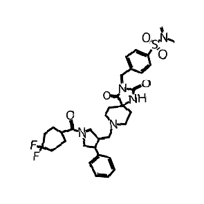 CN(C)S(=O)(=O)c1ccc(CN2C(=O)NC3(CCN(CC4CN(C(=O)C5CCC(F)(F)CC5)CC4c4ccccc4)CC3)C2=O)cc1